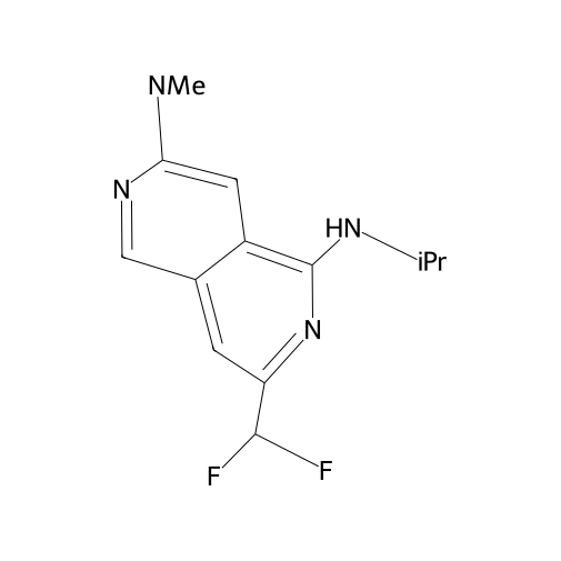 CNc1cc2c(NC(C)C)nc(C(F)F)cc2cn1